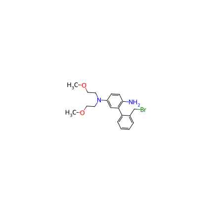 COCCN(CCOC)c1ccc(N)c(-c2ccccc2CBr)c1